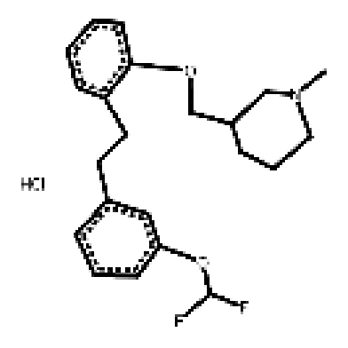 CN1CCCC(COc2ccccc2CCc2cccc(OC(F)F)c2)C1.Cl